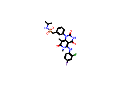 Cc1c(=O)n(C)c(Nc2ccc(I)cc2F)c2c(=O)[nH]c(=O)n(-c3cccc(CS(=O)(=O)NC(C)C)c3)c12